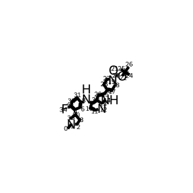 CN1CC[C@H](c2cc(Nc3ccnc4[nH]c(C5=CCN(C(=O)OC(C)(C)C)CC5)cc34)ccc2F)C1